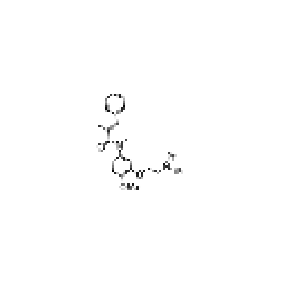 COc1ccc(N(C)C(=O)C(C)=Cc2ccccc2)cc1OCCN(C(C)C)C(C)C